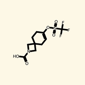 O=C(O)N1CC2(CC=C(OS(=O)(=O)C(F)(F)F)CC2)C1